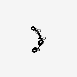 C/C(=C\CCOC(=O)c1ccccc1)C(=O)c1ccc(Sc2ccccc2)cc1